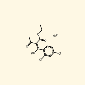 CCOC(=O)C(C(C)=O)=C(O)c1ccc(Cl)cc1Cl.[NaH]